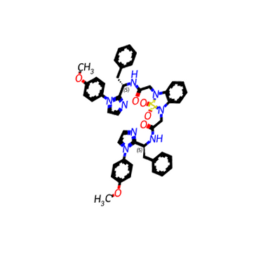 COc1ccc(-n2ccnc2[C@H](Cc2ccccc2)NC(=O)CN2c3ccccc3N(CC(=O)N[C@@H](Cc3ccccc3)c3nccn3-c3ccc(OC)cc3)S2(=O)=O)cc1